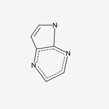 C1=Cc2nccnc2[N]1